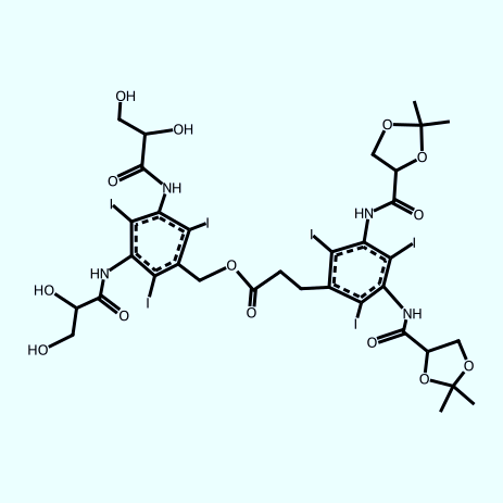 CC1(C)OCC(C(=O)Nc2c(I)c(CCC(=O)OCc3c(I)c(NC(=O)C(O)CO)c(I)c(NC(=O)C(O)CO)c3I)c(I)c(NC(=O)C3COC(C)(C)O3)c2I)O1